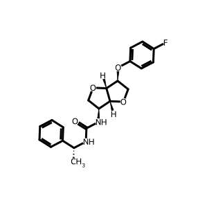 C[C@@H](NC(=O)N[C@H]1CO[C@H]2[C@@H]1OC[C@@H]2Oc1ccc(F)cc1)c1ccccc1